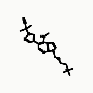 CNc1c(-c2cnn(C(C)(C)C#N)c2)cnc2c1ccn2COCC[Si](C)(C)C